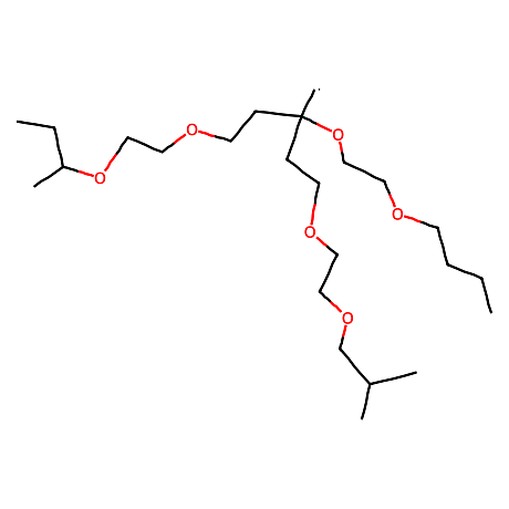 [CH2]C(CCOCCOCC(C)C)(CCOCCOC(C)CC)OCCOCCCC